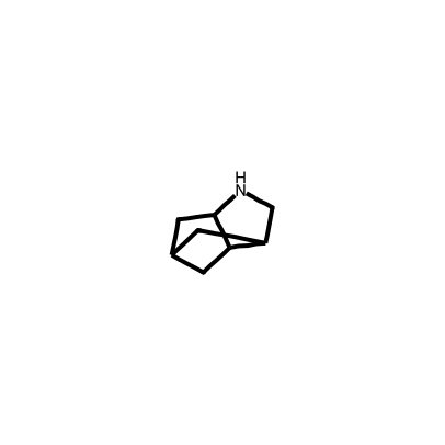 C1NC2CC3CC1C2C3